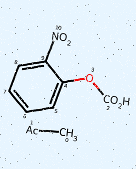 CC(C)=O.O=C(O)Oc1ccccc1[N+](=O)[O-]